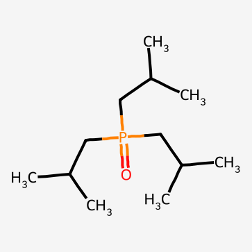 CC(C)CP(=O)(CC(C)C)CC(C)C